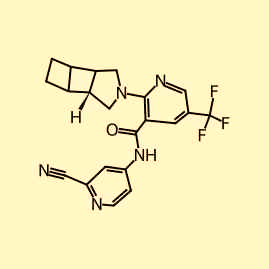 N#Cc1cc(NC(=O)c2cc(C(F)(F)F)cnc2N2CC3C4CCC4[C@H]3C2)ccn1